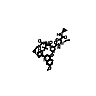 CCC[C@H](NC(=O)C1C[C@@H](Oc2cc(-n3cccn3)nc3cc(OC)ccc23)CN1C(=O)[C@@H](NC(=O)NCC1CC1)C(C)(C)C)C(=O)C(=O)NC1CC1